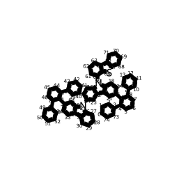 c1ccc(-c2cccc(-c3ccccc3)c2-c2ccc3c(c2)c2cc(-n4c5ccccc5c5ccc(-c6c(-c7ccccc7)cccc6-c6ccccc6)cc54)ccc2n3-c2cccc3c2sc2ccccc23)cc1